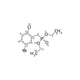 CCOP(=O)(Cc1cc(Br)ccc1Cl)OCC